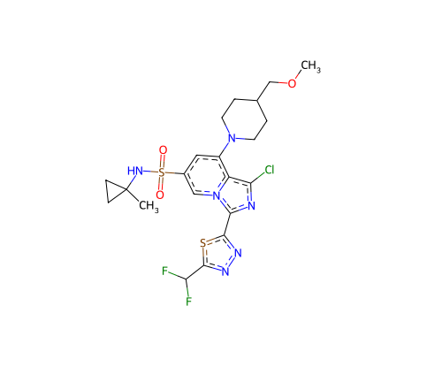 COCC1CCN(c2cc(S(=O)(=O)NC3(C)CC3)cn3c(-c4nnc(C(F)F)s4)nc(Cl)c23)CC1